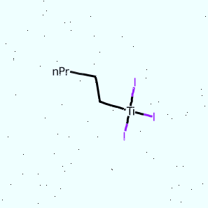 CCCC[CH2][Ti]([I])([I])[I]